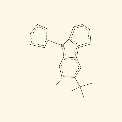 Cc1cc2c(cc1C(C)(C)C)c1ccccc1n2-c1ccccc1